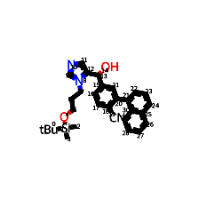 CC(C)(C)[Si](C)(C)OCCCn1cncc1C(O)c1ccc(C#N)c(-c2cccc3ccccc23)c1